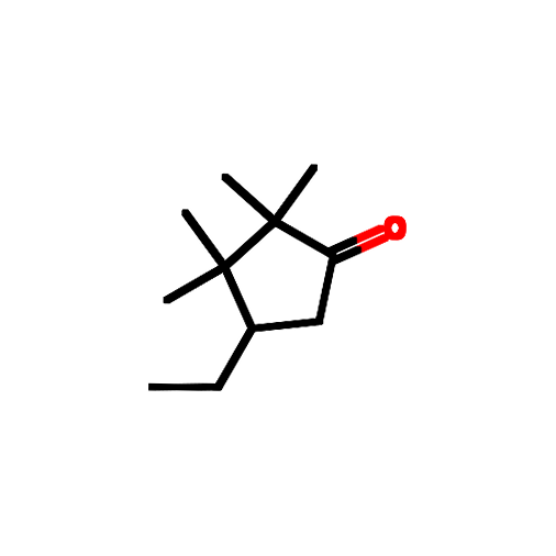 CCC1CC(=O)C(C)(C)C1(C)C